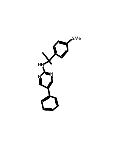 CSc1ccc(C(C)(C)Nc2ncc(-c3ccccc3)cn2)cc1